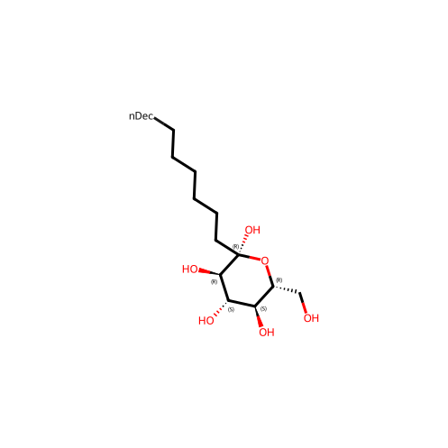 CCCCCCCCCCCCCCCC[C@@]1(O)O[C@H](CO)[C@@H](O)[C@H](O)[C@H]1O